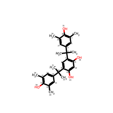 Cc1cc(C(C)(C)c2cc(C(C)(C)c3cc(C)c(O)c(C)c3)c(O)cc2O)cc(C)c1O